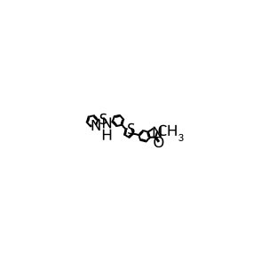 CN1Cc2cc(-c3ccc(-c4cccc(NSc5ccccn5)c4)s3)ccc2C1=O